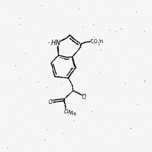 COC(=O)C(Cl)c1ccc2[nH]cc(C(=O)O)c2c1